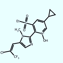 CCS(=O)(=O)c1cc(C2CC2)c[n+](O)c1-c1ncc(/C=C(/Cl)C(F)(F)F)n1C